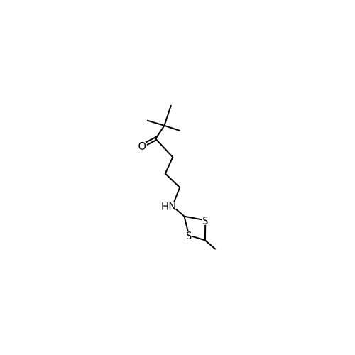 CC1SC(NCCCC(=O)C(C)(C)C)S1